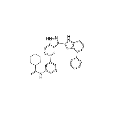 C=C(Nc1cncc(-c2cc3c(-c4cc5c(-c6ccccn6)cccc5[nH]4)n[nH]c3cn2)c1)C1CCCCC1